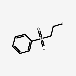 O=S(=O)(CCI)c1ccccc1